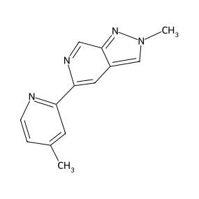 Cc1ccnc(-c2cc3cn(C)nc3cn2)c1